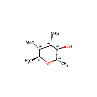 CO[C@@H]1[C@H](OCC(C)C)[C@@H](O)[C@H](C)O[C@H]1C